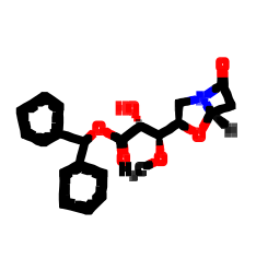 CO[C@H]([C@H]1CN2C(=O)C[C@@H]2O1)[C@@H](O)C(=O)OC(c1ccccc1)c1ccccc1